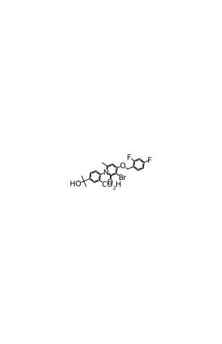 Cc1cc(OCc2ccc(F)cc2F)c(Br)c(=O)n1-c1ccc(C(C)(C)O)cc1C(=O)O